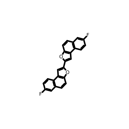 Fc1ccc2c(ccc3oc(-c4cc5c(ccc6cc(F)ccc65)o4)cc32)c1